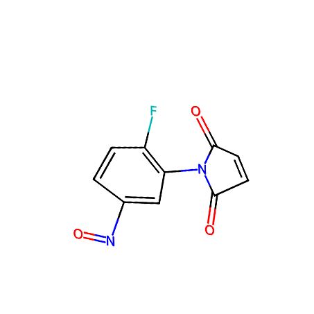 O=Nc1ccc(F)c(N2C(=O)C=CC2=O)c1